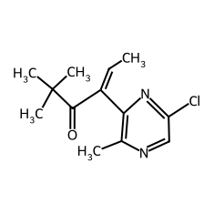 C/C=C(/C(=O)C(C)(C)C)c1nc(Cl)cnc1C